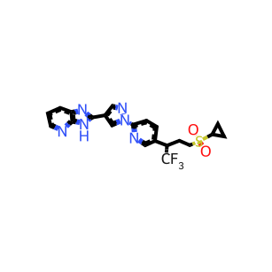 O=S(=O)(CCC(c1ccc(-n2cc(-c3nc4cccnc4[nH]3)cn2)nc1)C(F)(F)F)C1CC1